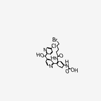 O=C(O)Nc1ccc(-c2cc(C(O)c3ccc(Cl)cn3)ccn2)c(NC(=O)CCCCBr)c1